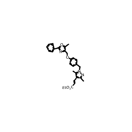 CCOC(=O)/C=C/c1c(C)nn(Cc2ccc(OCc3nc(-c4ccccc4)oc3C)cc2)c1C